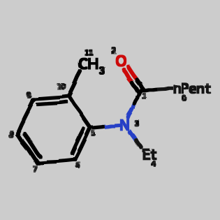 CCCCCC(=O)N(CC)c1ccccc1C